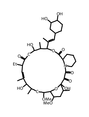 CCC1/C=C(/C)C(O)C(C)CC(OC)C2OC(O)(C(=O)C(=O)N3CCCCC3C(=O)OC(/C(C)=C/C3CCC(O)C(O)C3)C(C)C(O)CC1=O)C(C)CC2OC